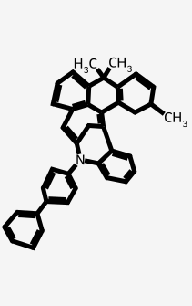 CC1C=CC2=C(C1)C1=C3CC(=Cc4cccc(c41)C2(C)C)N(c1ccc(-c2ccccc2)cc1)c1ccccc13